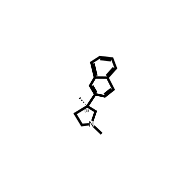 CN1CC[C@@](C)(c2ccc3ccccc3c2)C1